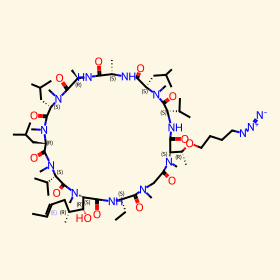 C/C=C/C[C@@H](C)[C@@H](O)[C@H]1C(=O)N[C@@H](CC)C(=O)N(C)CC(=O)N(C)[C@@H]([C@@H](C)OCCCCN=[N+]=[N-])C(=O)N[C@@H](C(C)C)C(=O)N(C)[C@@H](CC(C)C)C(=O)N[C@@H](C)C(=O)N[C@H](C)C(=O)N(C)[C@@H](CC(C)C)C(=O)N(C)[C@H](CC(C)C)C(=O)N(C)[C@@H](C(C)C)C(=O)N1C